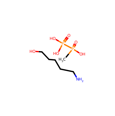 CP(=O)(O)P(=O)(O)O.NCCCCCO